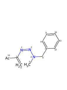 C=C(/N=N\N(C)Cc1ccccc1)C(C)=O